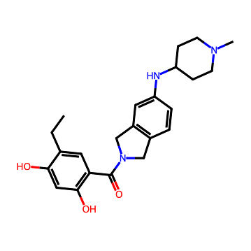 CCc1cc(C(=O)N2Cc3ccc(NC4CCN(C)CC4)cc3C2)c(O)cc1O